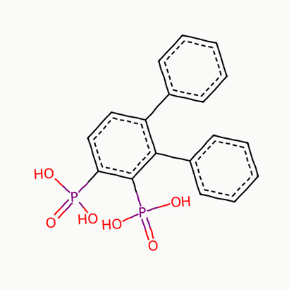 O=P(O)(O)c1ccc(-c2ccccc2)c(-c2ccccc2)c1P(=O)(O)O